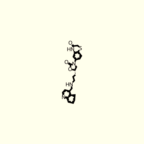 O=C1CSc2ccc(N3C[C@H](CCCNCc4ccnc5ccccc45)OC3=O)cc2N1